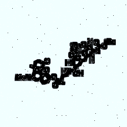 CN[C@@H]1Cc2ccc(OC(=O)N(C)CCNC(O)[C@H](CCCCN/C(=N/C(=O)OC(C)(C)C)NC(=O)OC(C)(C)C)NC(=O)OC(C)(C)C)c3c2[C@@]24CC(C)(CCC(=O)C2O3)C14